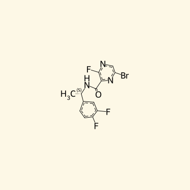 C[C@H](NC(=O)c1nc(Br)cnc1F)c1ccc(F)c(F)c1